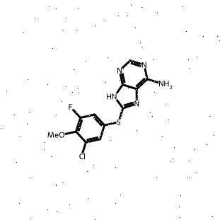 COc1c(F)cc(Sc2nc3c(N)ncnc3[nH]2)cc1Cl